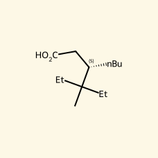 CCCC[C@@H](CC(=O)O)C(C)(CC)CC